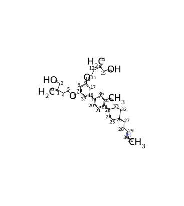 C=C(CO)CCOc1cc(OCCC(=C)CO)cc(-c2ccc(C3CCC(CC/C=C/C)CC3)c(C)c2)c1